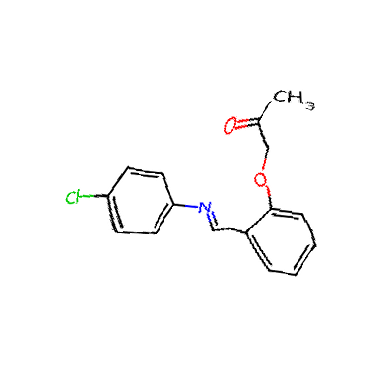 CC(=O)COc1ccccc1/C=N/c1ccc(Cl)cc1